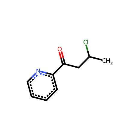 CC(Cl)CC(=O)c1ccccn1